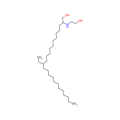 CCCCCCCCCCCCC(CC)CCCCCCCCCCC(CO)NCCO